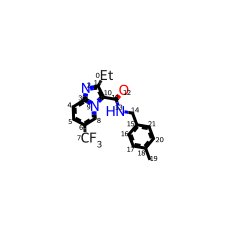 CCc1nc2ccc(C(F)(F)F)cn2c1C(=O)NCc1ccc(C)cc1